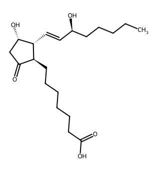 CCCCC[C@H](O)/C=C/[C@H]1[C@@H](O)CC(=O)[C@@H]1CCCCCCC(=O)O